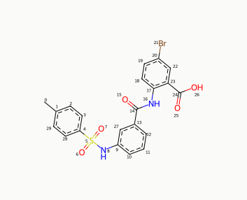 Cc1ccc(S(=O)(=O)Nc2cccc(C(=O)Nc3ccc(Br)cc3C(=O)O)c2)cc1